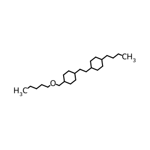 CCCCCOCC1CCC(CCC2CCC(CCCC)CC2)CC1